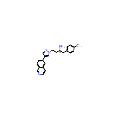 N[C@H](CCn1cc(-c2ccc3cnccc3c2)cn1)Cc1ccc(C(F)(F)F)cc1